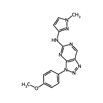 COc1ccc(-n2nnc3cnc(Nc4ccn(C)n4)nc32)cc1